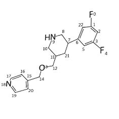 Fc1cc(F)cc(C2CNCC(COCc3ccncc3)C2)c1